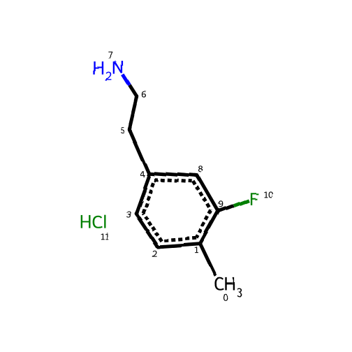 Cc1ccc(CCN)cc1F.Cl